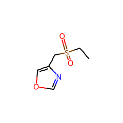 CCS(=O)(=O)Cc1cocn1